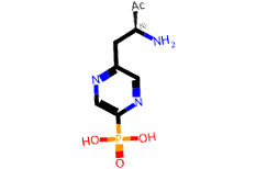 CC(=O)[C@@H](N)Cc1cnc(P(=O)(O)O)cn1